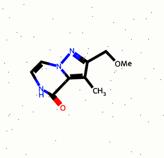 COCc1nn2cc[nH]c(=O)c2c1C